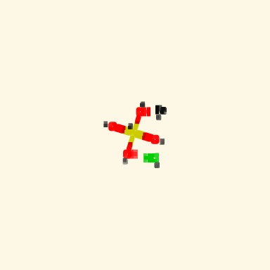 Cl.O=S(=O)(O)O.[Fe]